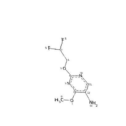 COc1nc(OCC(F)F)ncc1N